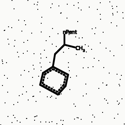 CCCCCC(C)Cc1cc[c]cc1